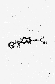 O=C(O)C#Cc1cc2cnc(C(=O)NC3CC4CCC3CC4)cc2o1